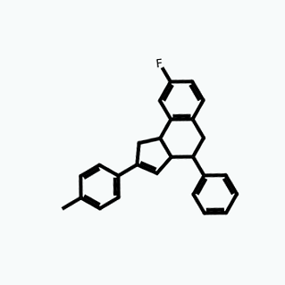 Cc1ccc(C2=CC3C(c4ccccc4)Cc4ccc(F)cc4C3C2)cc1